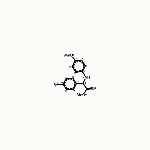 COC(=O)C(Nc1ccc(OC)cc1)c1ccc(Br)cc1